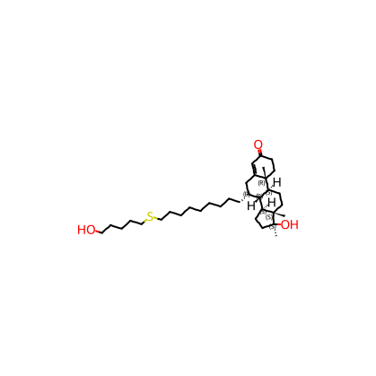 C[C@]12CCC(=O)C=C1C[C@@H](CCCCCCCCCSCCCCCO)[C@@H]1[C@@H]2CC[C@@]2(C)[C@H]1CC[C@]2(C)O